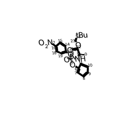 C[C@@H](NP(=O)(Oc1ccccc1)Oc1ccc([N+](=O)[O-])cc1)C(=O)OCC(C)(C)C